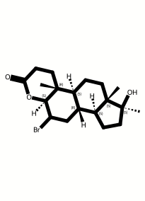 C[C@]12CCC(=O)O[C@@H]1C(Br)C[C@@H]1[C@@H]2CC[C@@]2(C)[C@H]1CC[C@]2(C)O